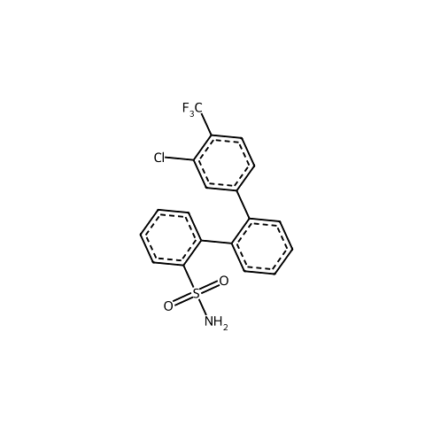 NS(=O)(=O)c1ccccc1-c1ccccc1-c1ccc(C(F)(F)F)c(Cl)c1